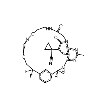 Cc1nc2c3cc(C4(C#N)CC4)c(=O)n(c3n1)CC(=O)NCCCN1CC(CCC(F)(F)c3cccc(c3)[C@@H](C)N2)C1